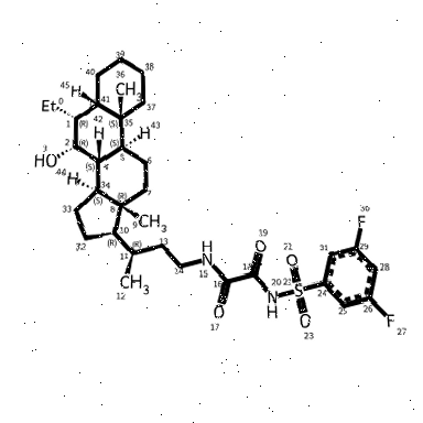 CC[C@H]1[C@@H](O)[C@@H]2[C@H](CC[C@]3(C)[C@@H]([C@H](C)CCNC(=O)C(=O)NS(=O)(=O)c4cc(F)cc(F)c4)CC[C@@H]23)[C@@]2(C)CCCC[C@@H]12